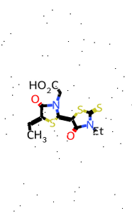 CC=c1s/c(=C2/SC(=S)N(CC)C2=O)n(CC(=O)O)c1=O